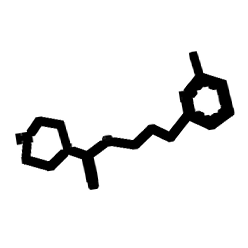 Cc1cccc(CCCOC(=O)N2CCNCC2)n1